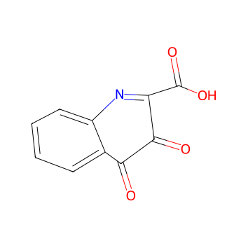 O=C(O)C1=Nc2ccccc2C(=O)C1=O